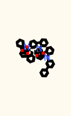 c1ccc(-c2cccc(-n3c4ccccc4c4c(-n5c6ccccc6c6ccc(-n7c8ccccc8c8ccccc87)c([Si](c7ccccc7)(c7ccccc7)c7ccccc7)c65)cccc43)c2)cc1